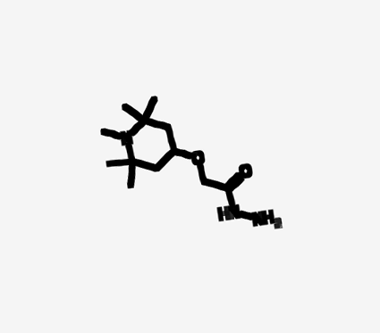 CN1C(C)(C)CC(OCC(=O)NN)CC1(C)C